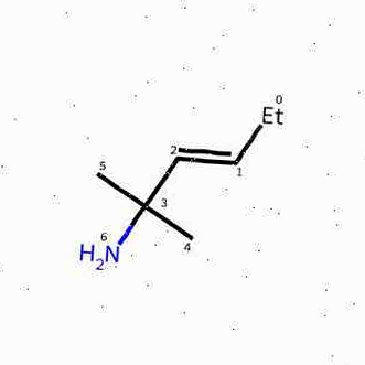 CCC=CC(C)(C)N